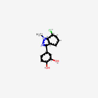 Cn1nc(-c2ccc(O)c(O)c2)c2cccc(Cl)c21